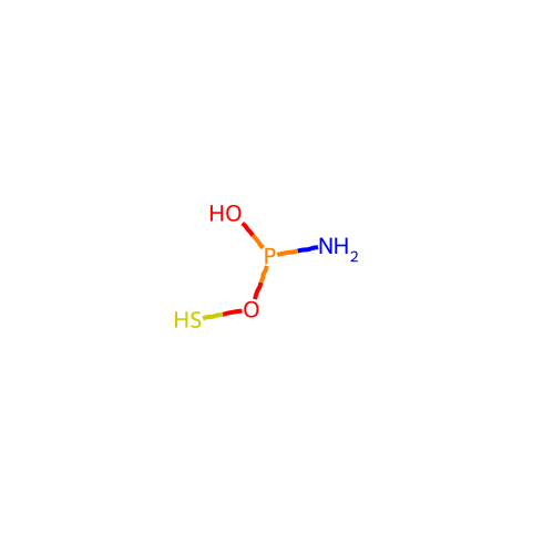 NP(O)OS